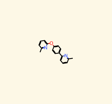 Cc1cccc(Oc2ccc(-c3cccc(C)n3)cc2)n1